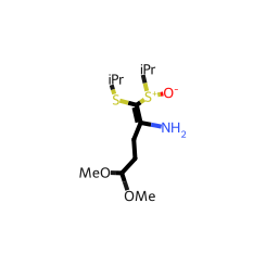 COC(CC/C(N)=C(\SC(C)C)[S+]([O-])C(C)C)OC